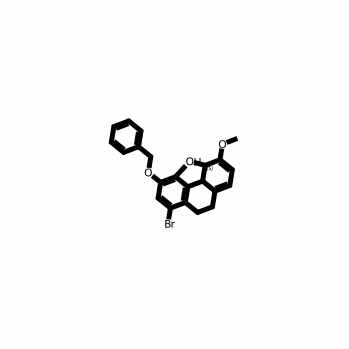 COC1=CC=C2CCc3c(Br)cc(OCc4ccccc4)c4c3C2[C@@H]1O4